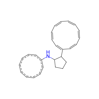 C1=C\C=C/C=C\C(C2CCCC2Nc2ccccccccc2)=C/C=C\C=C/1